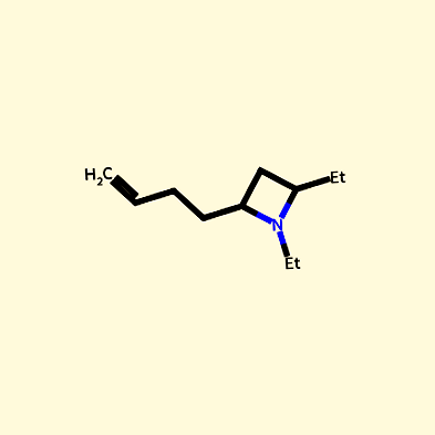 C=CCCC1CC(CC)N1CC